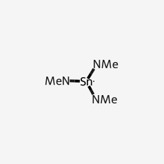 C[NH][Sn]([NH]C)[NH]C